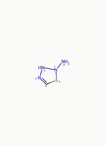 NN1NN=[C]S1